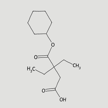 CCC(CC)(CC(=O)O)C(=O)OC1CCCCC1